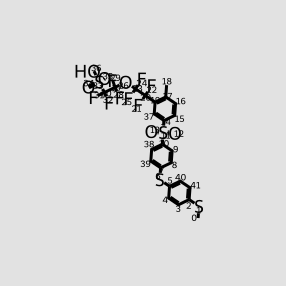 CSc1ccc(Sc2ccc(S(=O)(=O)c3ccc(C)c(C(F)(F)C(F)(F)OC(F)(F)C(F)(F)S(=O)(=O)O)c3)cc2)cc1